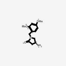 COc1ccc(CN2C[C@@H](N)CC2=O)c(OC)c1